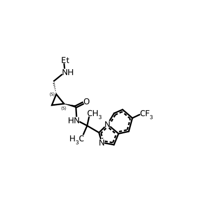 CCNC[C@H]1C[C@@H]1C(=O)NC(C)(C)c1ncc2cc(C(F)(F)F)ccn12